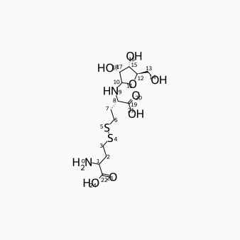 NC(CCSSCC[C@H](NC1O[C@H](CO)[C@@H](O)[C@H]1O)C(=O)O)C(=O)O